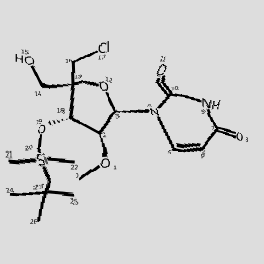 CO[C@@H]1[C@H](n2ccc(=O)[nH]c2=O)O[C@@](CO)(CCl)[C@H]1O[Si](C)(C)C(C)(C)C